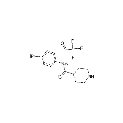 CC(C)c1ccc(NC(=O)C2CCNCC2)cc1.O=CC(F)(F)F